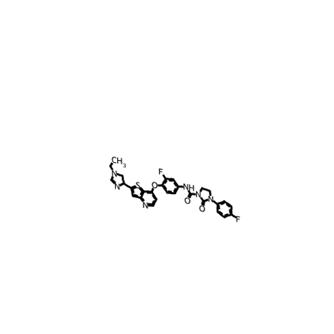 CCN1C=NC(c2cc3nccc(Oc4ccc(NC(=O)N5CCN(c6ccc(F)cc6)C5=O)cc4F)c3s2)C1